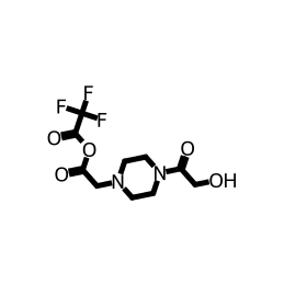 O=C(CN1CCN(C(=O)CO)CC1)OC(=O)C(F)(F)F